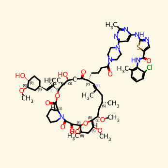 CO[C@H]1C[C@@H](C)C/C(C)=C/[C@@H](CCCC(=O)N2CCN(c3cc(Nc4ncc(C(=O)Nc5c(C)cccc5Cl)s4)nc(C)n3)CC2)C(=O)C[C@H](O)[C@@H](C)[C@@H](/C(C)=C/[C@@H]2CC[C@@H](O)[C@H](OC)C2)OC(=O)[C@@H]2CCCCN2C(=O)C(=O)[C@]2(O)O[C@H]1[C@@H](OC)C[C@H]2C